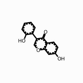 O=c1c(-c2ccccc2O)coc2cc(O)ccc12